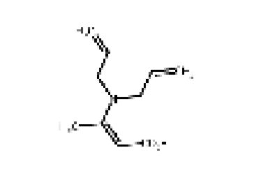 C=CCN(CC=C)C(C)=CC(=O)OCC